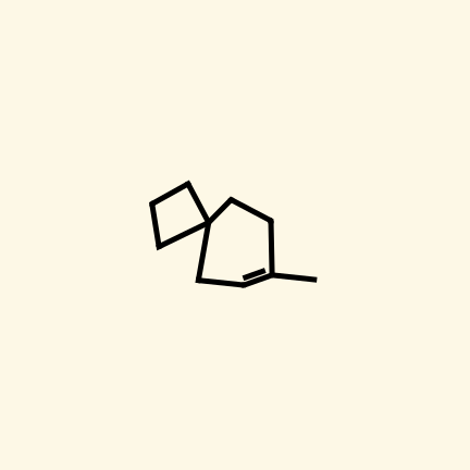 CC1=CCC2(CCC2)CC1